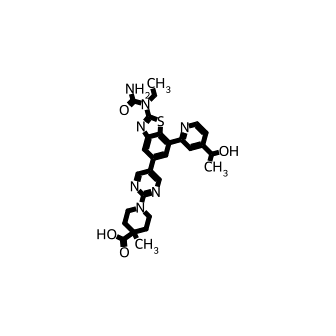 CCN(C(N)=O)c1nc2cc(-c3cnc(N4CCC(C)(C(=O)O)CC4)nc3)cc(-c3cc(C(C)O)ccn3)c2s1